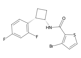 O=C(N[C@H]1CC[C@H]1c1ccc(F)cc1F)c1sccc1Br